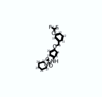 O=S(=O)(Nc1ccc(OCc2cccc(OC(F)F)c2)cc1)N1CCCCC1